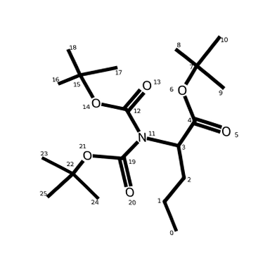 CCCC(C(=O)OC(C)(C)C)N(C(=O)OC(C)(C)C)C(=O)OC(C)(C)C